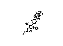 CC(C)(NS(=O)(=O)c1ccc(-c2c(C#N)c3cc(C(F)(F)F)cnc3n2C2=CC=C2)nc1)C(F)(F)F